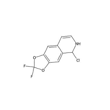 FC1(F)Oc2cc3c(cc2O1)C(Cl)NC=C3